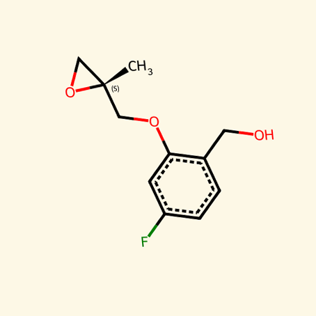 C[C@]1(COc2cc(F)ccc2CO)CO1